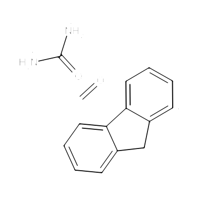 C=O.NC(N)=O.c1ccc2c(c1)Cc1ccccc1-2